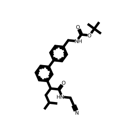 CC(C)CC(C(=O)NCC#N)c1cccc(-c2ccc(CNC(=O)OC(C)(C)C)cc2)c1